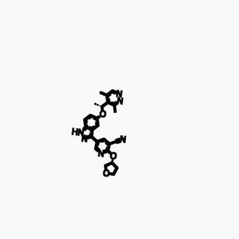 Cc1cnnc(C)c1[C@@H](C)Oc1ccc2[nH]nc(-c3cnc(O[C@@H]4CCOC4)c(C#N)c3)c2c1